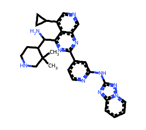 CC1(C)CNCCC1C(N)c1nc(-c2ccnc(Nc3nc4ccccn4n3)c2)nc2cncc(C3CC3)c12